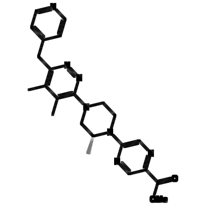 COC(=O)c1cnc(N2CCN(c3nnc(Cc4ccncc4)c(C)c3C)C[C@H]2C)cn1